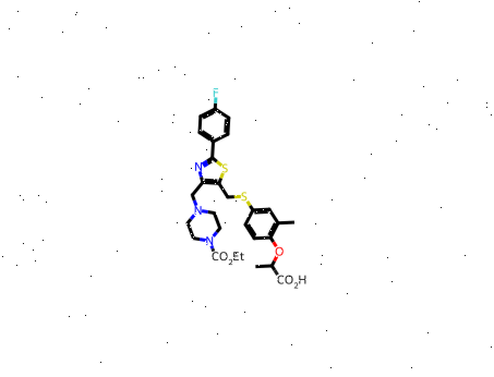 CCOC(=O)N1CCN(Cc2nc(-c3ccc(F)cc3)sc2CSc2ccc(OC(C)C(=O)O)c(C)c2)CC1